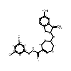 C=C1c2cc(O)ccc2CC1CC1CCC=C(C(=O)OCc2cc(Cl)cc(Cl)c2)CC1